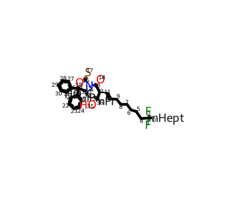 CCCCCCCC(F)(F)CCCCCCC=C[C@H](C(=O)N1C(=S)OC(c2ccccc2)(c2ccccc2)[C@@H]1C(C)C)[C@@](O)(CCC)C(=O)O